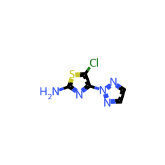 Nc1nc(-n2nccn2)c(Cl)s1